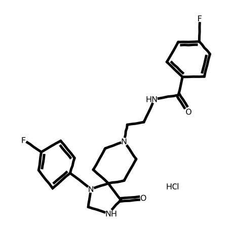 Cl.O=C(NCCN1CCC2(CC1)C(=O)NCN2c1ccc(F)cc1)c1ccc(F)cc1